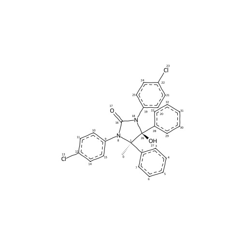 C[C@]1(c2ccccc2)N(c2ccc(Cl)cc2)C(=O)N(c2ccc(Cl)cc2)[C@]1(O)c1ccccc1